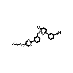 COCCOc1cnc(-c2cccc(Cn3nc(-c4cccc(C#N)c4)ccc3=O)c2)nc1